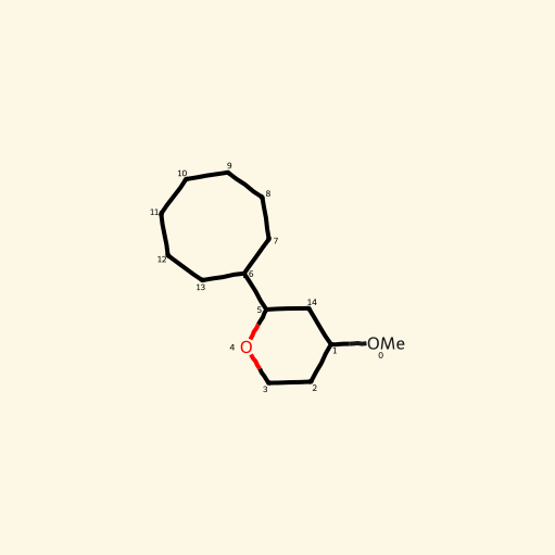 COC1CCOC([C]2CCCCCCC2)C1